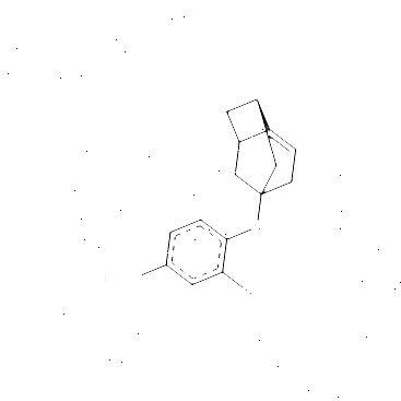 CCOC(=O)c1ccc(NC23CC=C4C(CC4C2)C3)c(N)c1